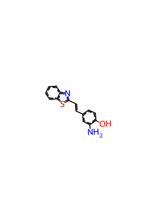 Nc1cc(/C=C/c2nc3ccccc3s2)ccc1O